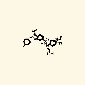 CCS(=O)(=O)c1ccc([C@H](CCO)NC(=O)c2ccc3c(c2)CN(C[C@H]2CC[C@H](C)CC2)[C@H]3C(C)C)cc1